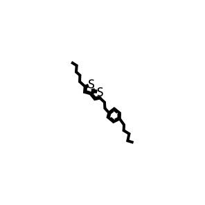 CCCCCc1ccc(CCc2cc3cc(CCCCC)sc3s2)cc1